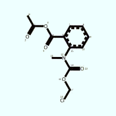 CC(=O)OC(=O)c1ccccc1N(C)C(=O)OCCl